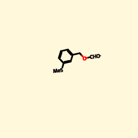 CSc1cccc(CO[C]=O)c1